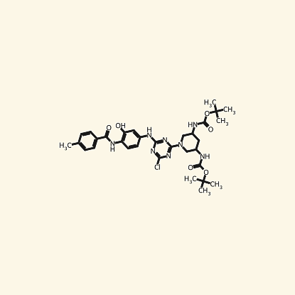 Cc1ccc(C(=O)Nc2ccc(Nc3nc(Cl)nc(N4CC(NC(=O)OC(C)(C)C)CC(NC(=O)OC(C)(C)C)C4)n3)cc2O)cc1